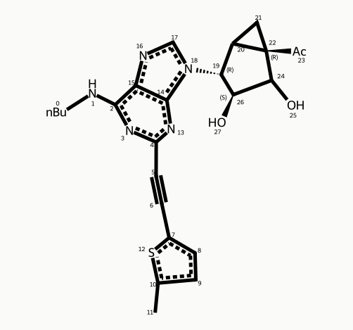 CCCCNc1nc(C#Cc2ccc(C)s2)nc2c1ncn2[C@@H]1C2C[C@]2(C(C)=O)C(O)[C@H]1O